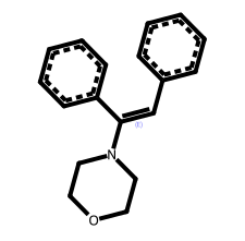 C(=C(/c1ccccc1)N1CCOCC1)/c1ccccc1